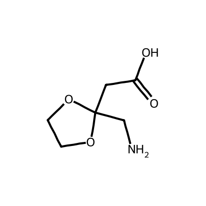 NCC1(CC(=O)O)OCCO1